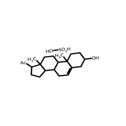 CC(=O)C1CCC2C3CC=C4CC(O)CCC4(C)C3CCC12C.O=S(=O)(O)O